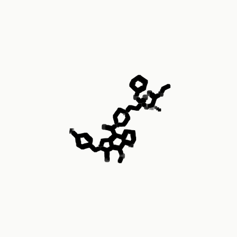 CCOC(=O)[C@H](C)OP(=O)(CCN1CCN(C(=O)c2c3c(c(OC)c4ncccc24)C(=O)N(Cc2ccc(F)cc2)C3)CC1)Oc1ccccc1